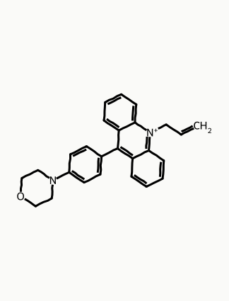 C=CC[n+]1c2ccccc2c(-c2ccc(N3CCOCC3)cc2)c2ccccc21